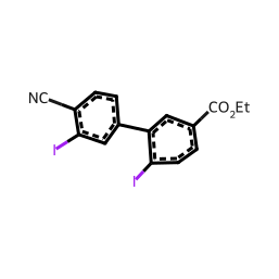 CCOC(=O)c1ccc(I)c(-c2ccc(C#N)c(I)c2)c1